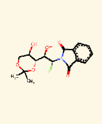 CC1(C)OC[C@@H](O)[C@H]([C@@H](O)[C@H](F)N2C(=O)c3ccccc3C2=O)O1